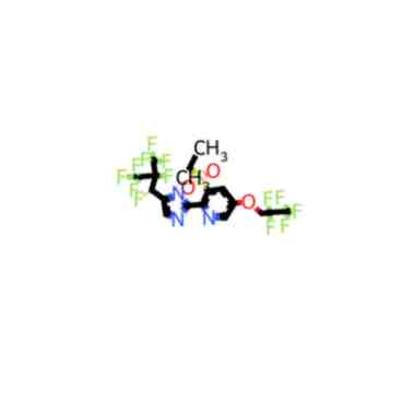 CCS(=O)(=O)c1cc(OCC(F)(F)C(F)(F)F)cnc1-c1ncc([C@H](F)C(F)(C(F)(F)F)C(F)(F)F)n1C